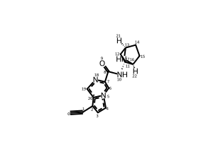 C#Cc1ccn2cc(C(=O)N[C@@H]3C[C@H]4CC[C@@H]3N4)ncc12